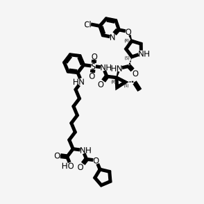 C=C[C@@H]1C[C@]1(NC(=O)[C@@H]1C[C@@H](Oc2ccc(Cl)cn2)CN1)C(=O)NS(=O)(=O)c1ccccc1NCCCCCCCC(NC(=O)OC1CCCC1)C(=O)O